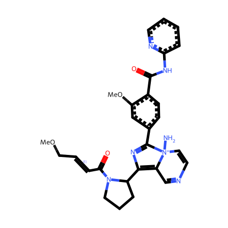 COC/C=C/C(=O)N1CCCC1C1=C2C=NC=C[N+]2(N)C(c2ccc(C(=O)Nc3ccccn3)c(OC)c2)=N1